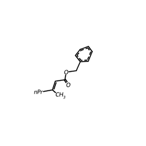 CCC/C(C)=C/C(=O)OCc1ccccc1